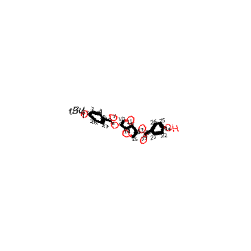 CC(C)(C)Oc1ccc(C(=O)O[C@H]2COC3C2OC[C@H]3OC(=O)c2ccc(O)cc2)cc1